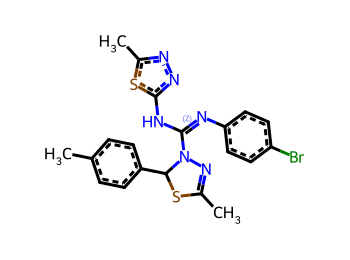 CC1=NN(/C(=N\c2ccc(Br)cc2)Nc2nnc(C)s2)C(c2ccc(C)cc2)S1